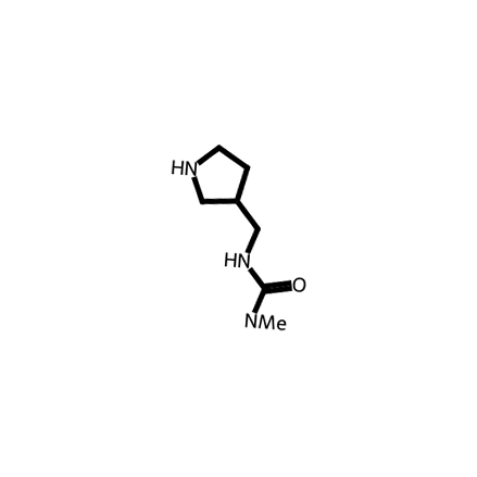 CNC(=O)NCC1CCNC1